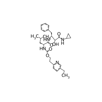 CCc1ccc(CCOC(=O)N[C@@H](CC(C)C)C(=O)N[C@@H](Cc2ccccc2)C(O)C(=O)NC2CC2)nc1